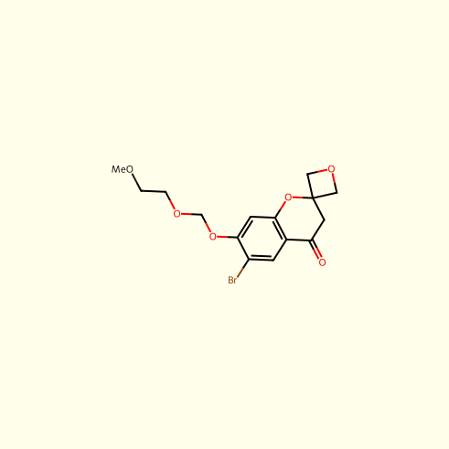 COCCOCOc1cc2c(cc1Br)C(=O)CC1(COC1)O2